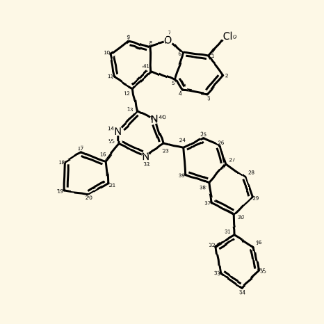 Clc1cccc2c1oc1cccc(-c3nc(-c4ccccc4)nc(-c4ccc5ccc(-c6ccccc6)cc5c4)n3)c12